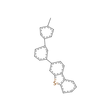 Cc1ccc(-c2cccc(-c3ccc4c(c3)sc3ccccc34)c2)cc1